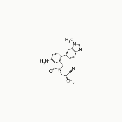 C=C(C#N)CN1Cc2c(-c3ccc4ncn(C)c4c3)ccc(N)c2C1=O